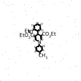 CCOC(=O)C1=CN(c2ccc(C)cc2)C=C(C(=O)OCC)C1c1ccccc1OCC